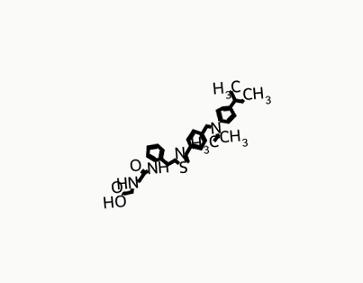 CCC(CC)c1ccc(N(Cc2ccc(-c3csc(Cc4ccccc4NC(=O)CNCC(=O)O)n3)cc2)C(C)C)cc1